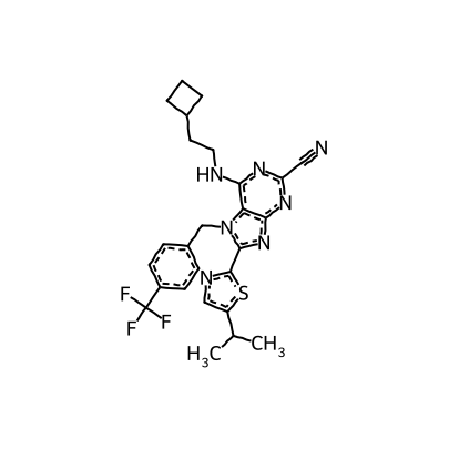 CC(C)c1cnc(-c2nc3nc(C#N)nc(NCCC4CCC4)c3n2Cc2ccc(C(F)(F)F)cc2)s1